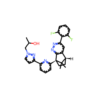 CC(O)Cn1ccc(-c2cccc([C@@]34CC[C@@H](c5cc(-c6c(F)cccc6F)nnc53)C4(C)C)n2)n1